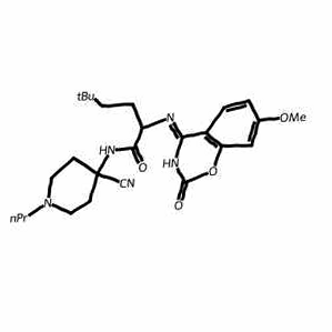 CCCN1CCC(C#N)(NC(=O)C(CCC(C)(C)C)N=c2[nH]c(=O)oc3cc(OC)ccc23)CC1